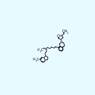 C=CCCC(C=C)N1CCc2cccc(CCCCCN(CC)CCC3CCC4C=CC(C)=CC43)c2C1